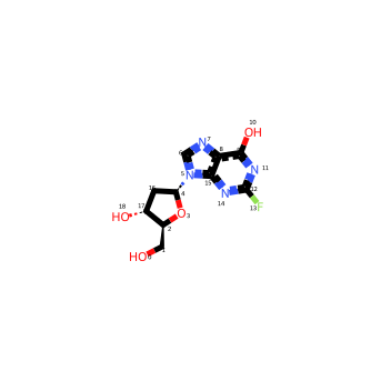 OC[C@@H]1O[C@@H](n2cnc3c(O)nc(F)nc32)C[C@H]1O